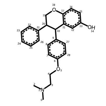 CN(C)CCOc1ccc(C2c3cc(O)ccc3OCC2c2ccccc2)cc1